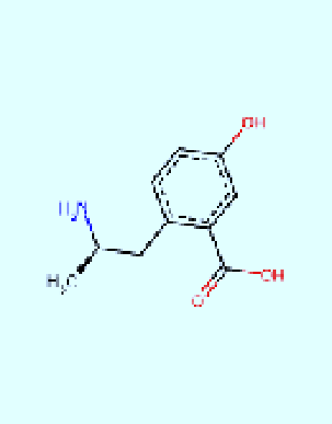 C[C@@H](N)Cc1ccc(O)cc1C(=O)O